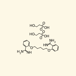 N=C(N)c1ccccc1OCCCCCOc1ccccc1C(=N)N.O=S(=O)(O)CCO.O=S(=O)(O)CCO